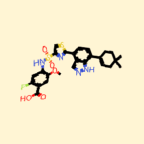 COc1cc(C(=O)O)c(F)cc1NS(=O)(=O)c1csc(-c2ccc(C3=CCC(C)(C)CC3)c3[nH]ncc23)n1